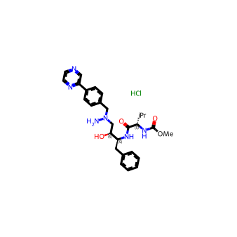 COC(=O)N[C@H](C(=O)N[C@@H](Cc1ccccc1)[C@@H](O)CN(N)Cc1ccc(-c2cnccn2)cc1)C(C)C.Cl